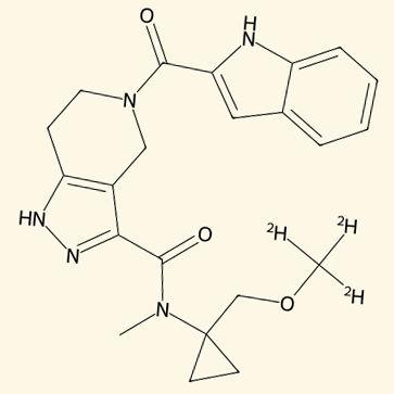 [2H]C([2H])([2H])OCC1(N(C)C(=O)c2n[nH]c3c2CN(C(=O)c2cc4ccccc4[nH]2)CC3)CC1